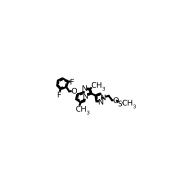 CSOCCn1cc(-c2c(C)nc3c(OCc4c(F)cccc4F)cc(C)cn23)cn1